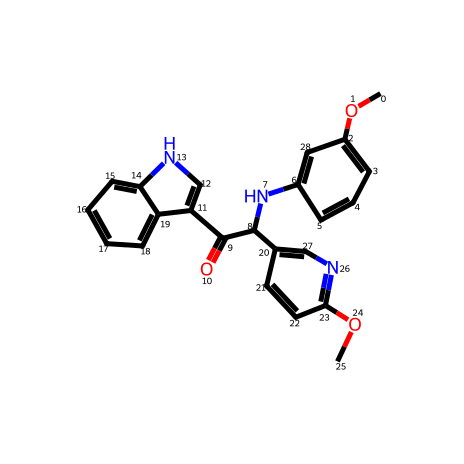 COc1cccc(NC(C(=O)c2c[nH]c3ccccc23)c2ccc(OC)nc2)c1